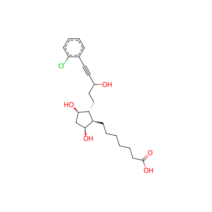 O=C(O)CCCCCC[C@@H]1[C@@H](CCC(O)C#Cc2ccccc2Cl)[C@H](O)C[C@@H]1O